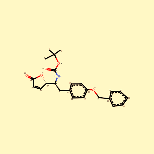 CC(C)(C)OC(=O)N[C@@H](Cc1ccc(OCc2ccccc2)cc1)[C@@H]1C=CC(=O)O1